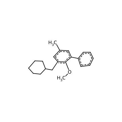 COc1c(CC2CCCCC2)cc(C)cc1-c1ccccc1